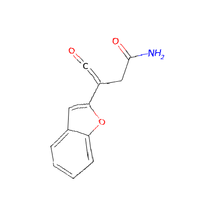 NC(=O)CC(=C=O)c1cc2ccccc2o1